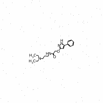 CCN(CC)CCCNC(=O)COc1cc(-c2ccccc2)[nH]n1